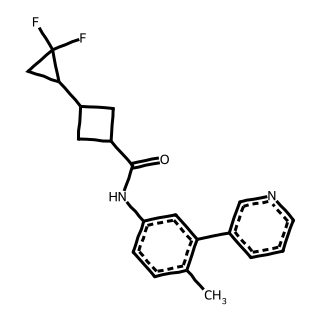 Cc1ccc(NC(=O)C2CC(C3CC3(F)F)C2)cc1-c1cccnc1